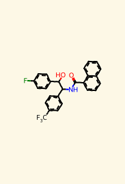 O=C(NC(c1ccc(C(F)(F)F)cc1)C(O)c1ccc(F)cc1)c1cccc2ccccc12